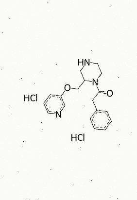 Cl.Cl.O=C(Cc1ccccc1)N1CCNCC1COc1cccnc1